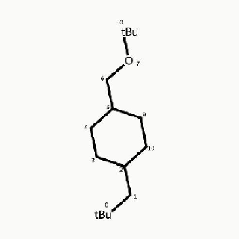 CC(C)(C)CC1CCC(COC(C)(C)C)CC1